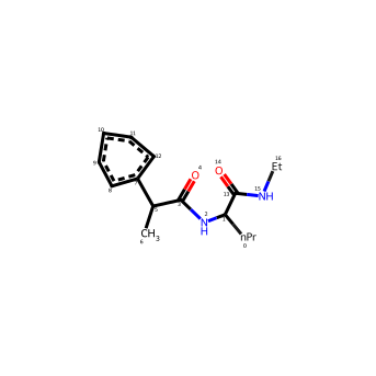 CCCC(NC(=O)C(C)c1ccccc1)C(=O)NCC